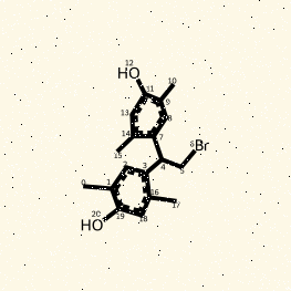 Cc1cc(C(CBr)c2cc(C)c(O)cc2C)c(C)cc1O